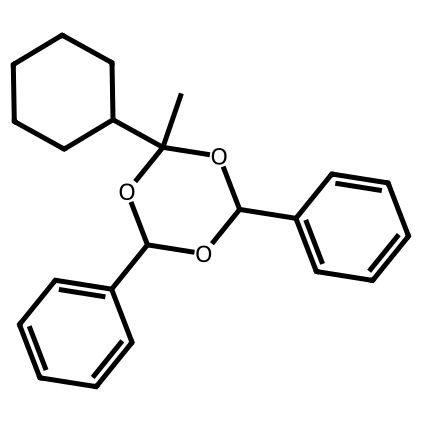 CC1(C2CCCCC2)OC(c2ccccc2)OC(c2ccccc2)O1